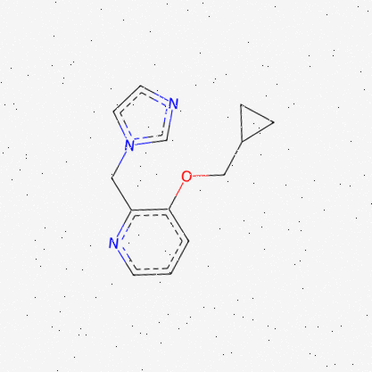 c1cnc(Cn2ccnc2)c(OCC2CC2)c1